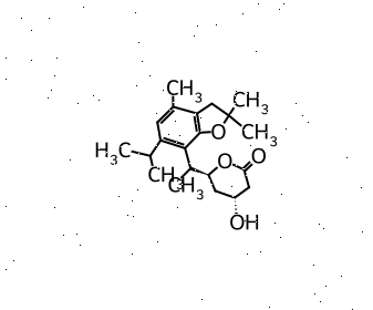 Cc1cc(C(C)C)c(C(C)[C@@H]2C[C@@H](O)CC(=O)O2)c2c1CC(C)(C)O2